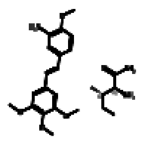 CC[C@H](C)[C@H](N)C(N)=O.COc1ccc(C=Cc2cc(OC)c(OC)c(OC)c2)cc1N